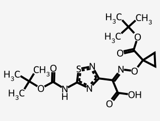 CC(C)(C)OC(=O)Nc1nc(C(=NOC2(C(=O)OC(C)(C)C)CC2)C(=O)O)ns1